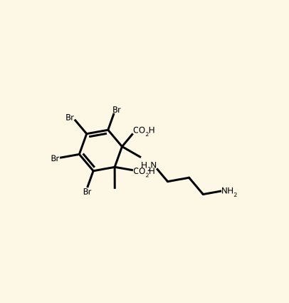 CC1(C(=O)O)C(Br)=C(Br)C(Br)=C(Br)C1(C)C(=O)O.NCCCN